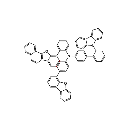 c1ccc(N(c2ccc(-c3ccccc3-n3c4ccccc4c4ccccc43)cc2)c2ccc(-c3cccc4c3oc3ccccc34)cc2)c(-c2cccc3c2oc2c4ccccc4ccc32)c1